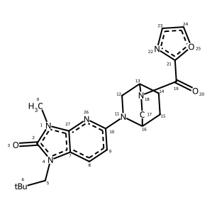 Cn1c(=O)n(CC(C)(C)C)c2ccc(N3CC4CCC3CN4C(=O)c3ncco3)nc21